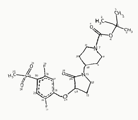 CC(C)(C)OC(=O)N1CCC(N2CCC(Oc3cc(F)c(S(C)(=O)=O)cc3F)C2=O)CC1